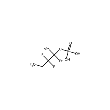 CCCC(CC)(OP(=O)(O)O)C(F)(F)CC(F)(F)F